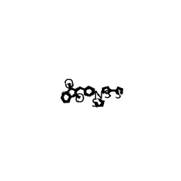 O=C1C(=Cc2ccc(N(c3cccs3)c3ccc(-c4cccs4)s3)cc2)C(=O)c2ccccc21